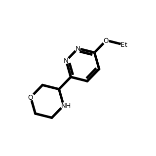 CCOc1ccc(C2COCCN2)nn1